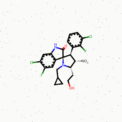 O=C1Nc2cc(Cl)c(F)cc2[C@@]12[C@@H](c1cccc(Cl)c1F)[C@H]([N+](=O)[O-])[C@H](CCO)N2CC1CC1